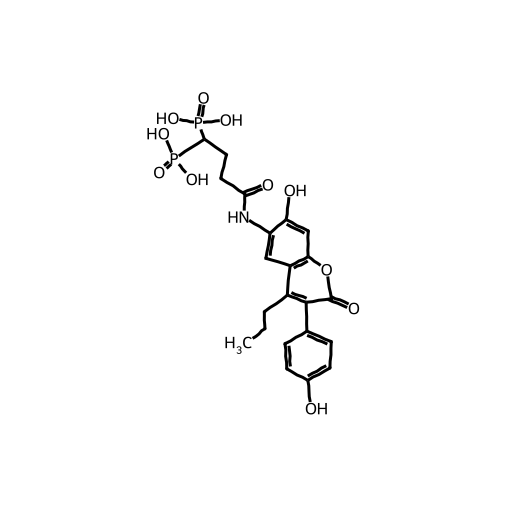 CCCc1c(-c2ccc(O)cc2)c(=O)oc2cc(O)c(NC(=O)CCC(P(=O)(O)O)P(=O)(O)O)cc12